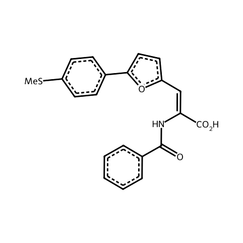 CSc1ccc(-c2ccc(C=C(NC(=O)c3ccccc3)C(=O)O)o2)cc1